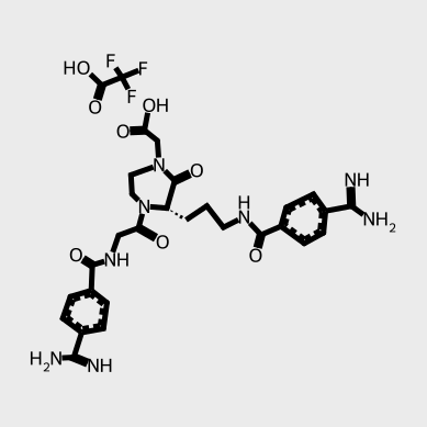 N=C(N)c1ccc(C(=O)NCCC[C@H]2C(=O)N(CC(=O)O)CCN2C(=O)CNC(=O)c2ccc(C(=N)N)cc2)cc1.O=C(O)C(F)(F)F